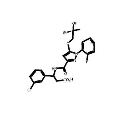 CC(C)[C@](C)(O)COc1cc(C(=O)NC(CC(=O)O)c2cccc(Cl)c2)nn1-c1ccccc1F